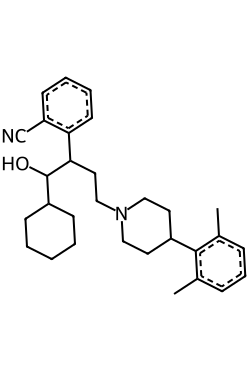 Cc1cccc(C)c1C1CCN(CCC(c2ccccc2C#N)C(O)C2CCCCC2)CC1